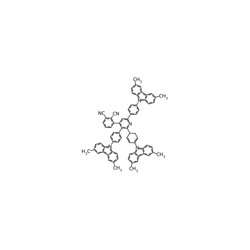 Cc1ccc2c(c1)c1cc(C)ccc1n2C1=CCC(c2nc(-c3ccc(-n4c5ccc(C)cc5c5cc(C)ccc54)cc3)cc(-c3cccc(C#N)c3C#N)c2-c2ccc(-n3c4ccc(C)cc4c4cc(C)ccc43)cc2)C=C1